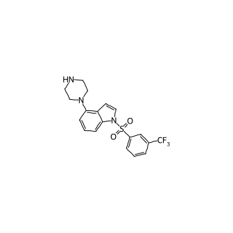 O=S(=O)(c1cccc(C(F)(F)F)c1)n1ccc2c(N3CCNCC3)cccc21